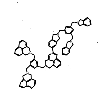 c1ccc2c(c1)CN(Cc1cc(CN3Cc4ccccc4C3)cc(CN3Cc4ccc(-c5cc6c7c(cccc7c5)CN(Cc5cc(CN7Cc8cccc9cccc(c89)C7)cc(CN7Cc8cccc9cccc(c89)C7)c5)C6)cc4C3)c1)C2